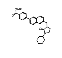 COC(=O)c1ccc(-c2ccc3cc(CC4CCN(C5CCCCC5)C4=O)ccc3c2)cc1